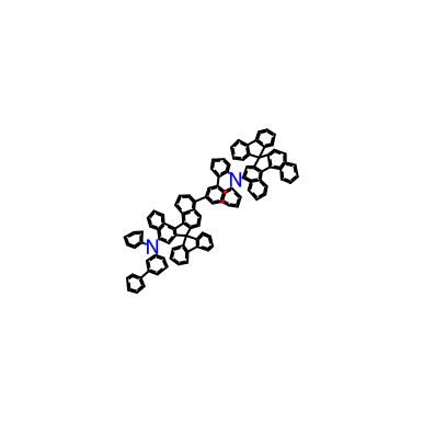 c1ccc(-c2cccc(N(c3ccccc3)c3cc4c(c5ccccc35)-c3c(ccc5c(-c6cccc(-c7ccccc7N(c7ccccc7)c7cc8c(c9ccccc79)-c7c(ccc9ccccc79)C87c8ccccc8-c8ccccc87)c6)cccc35)C43c4ccccc4-c4ccccc43)c2)cc1